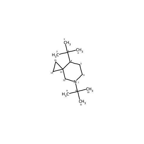 CC(C)(C)C1CCN(C(C)(C)C)CC12CC2